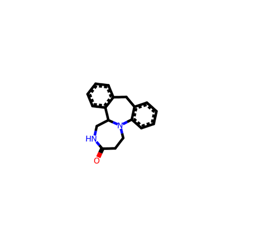 O=C1CCN2c3ccccc3Cc3ccccc3C2CN1